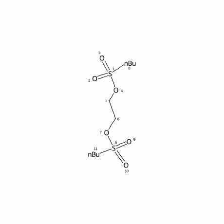 CCCCS(=O)(=O)OCCOS(=O)(=O)CCCC